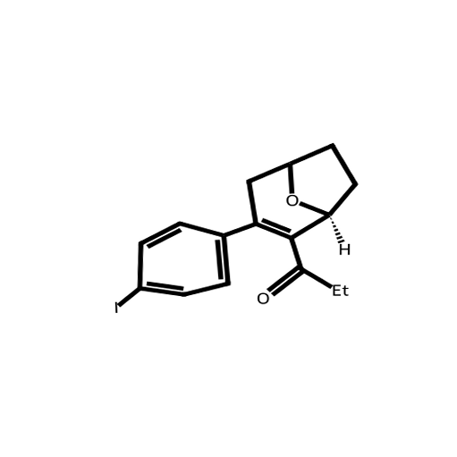 CCC(=O)C1=C(c2ccc(I)cc2)CC2CC[C@@H]1O2